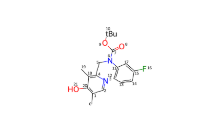 Cc1cnc(CN(C(=O)OC(C)(C)C)c2cccc(F)c2)c(C)c1O